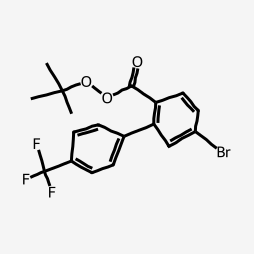 CC(C)(C)OOC(=O)c1ccc(Br)cc1-c1ccc(C(F)(F)F)cc1